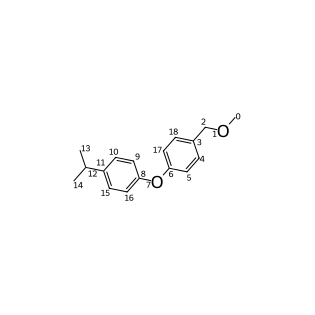 COCc1ccc(Oc2ccc(C(C)C)cc2)cc1